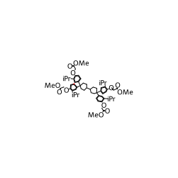 COC(=O)COc1ccc(C2(c3ccc(OCC(=O)OC)c(C(C)C)c3)CCC(C3CCC(c4ccc(OCC(=O)OC)c(C(C)C)c4)(c4ccc(OCC(=O)OC)c(C(C)C)c4)CC3)CC2)cc1C(C)C